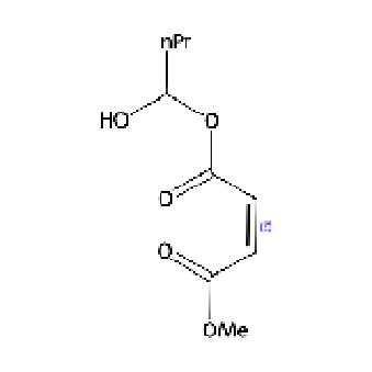 CCCC(O)OC(=O)/C=C\C(=O)OC